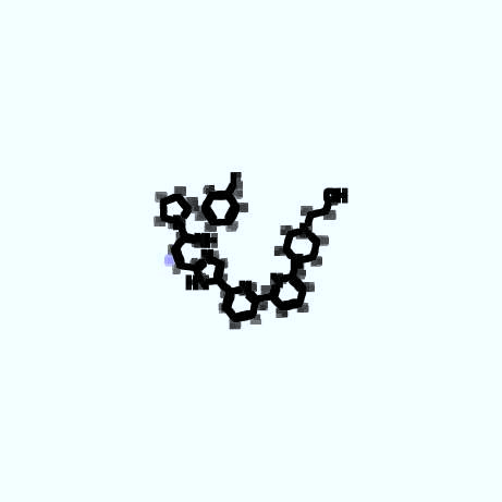 N=C(/C=C\c1ncc(-c2cccc(-c3cccc(N4CCN(CCO)CC4)n3)n2)[nH]1)N1CCC[C@@H]1c1cccc(F)c1